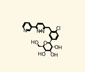 OC[C@H]1O[C@@H](c2ccc(Cl)c(Cc3ccc(-c4cccnc4)nn3)c2)[C@H](O)[C@@H](O)[C@@H]1O